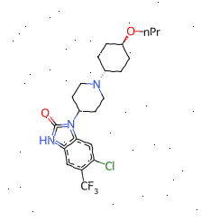 CCCO[C@H]1CC[C@H](N2CCC(n3c(=O)[nH]c4cc(C(F)(F)F)c(Cl)cc43)CC2)CC1